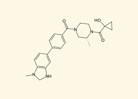 C[C@@H]1CN(C(=O)c2ccc(-c3ccc4c(c3)NCN4C)cc2)CCN1C(=O)C1(O)CC1